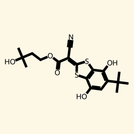 CC(C)(O)CCOC(=O)/C(C#N)=C1\Sc2c(O)cc(C(C)(C)C)c(O)c2S1